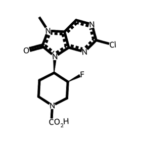 Cn1c(=O)n([C@@H]2CCN(C(=O)O)C[C@@H]2F)c2nc(Cl)ncc21